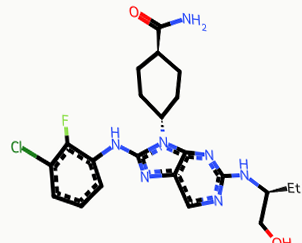 CC[C@@H](CO)Nc1ncc2nc(Nc3cccc(Cl)c3F)n([C@H]3CC[C@H](C(N)=O)CC3)c2n1